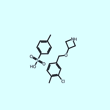 Cc1ccc(COC2CNC2)cc1Cl.Cc1ccc(S(=O)(=O)O)cc1